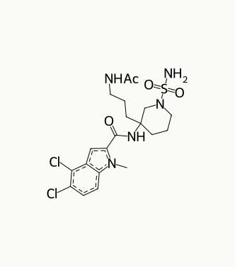 CC(=O)NCCCC1(NC(=O)c2cc3c(Cl)c(Cl)ccc3n2C)CCCN(S(N)(=O)=O)C1